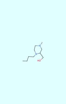 CCCCN1CCN(C)CC1CO